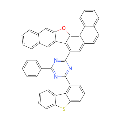 c1ccc(-c2nc(-c3cccc4sc5ccccc5c34)nc(-c3cc4ccc5ccccc5c4c4oc5cc6ccccc6cc5c34)n2)cc1